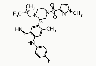 Cc1cc(Nc2ccc(F)cc2)c(C=N)cc1[C@H]1CN(S(=O)(=O)c2ccn(C)n2)CCN1C[C@@H](C)C(F)(F)F